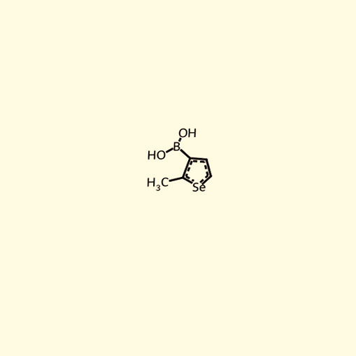 Cc1[se]ccc1B(O)O